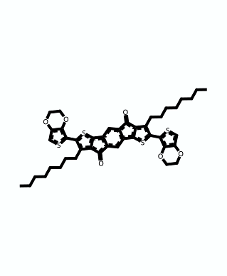 CCCCCCCCc1c(-c2scc3c2OCCO3)sc2c1c(=O)c1cc3c(cc12)c(=O)c1c(CCCCCCCC)c(-c2scc4c2OCCO4)sc13